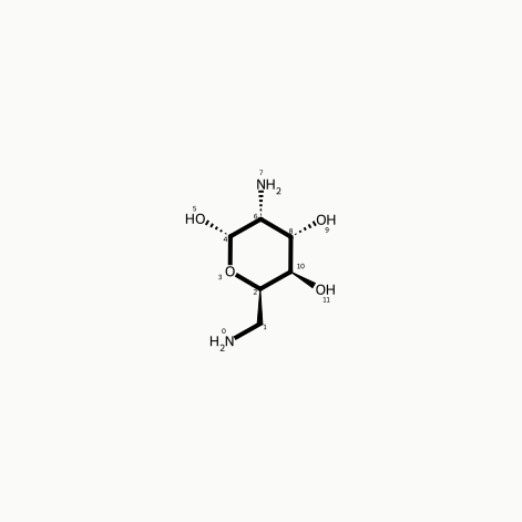 NC[C@H]1O[C@H](O)[C@H](N)[C@H](O)[C@H]1O